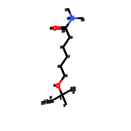 CCCCCCC(C)(CC)OCCCCCC(=O)N(C)C